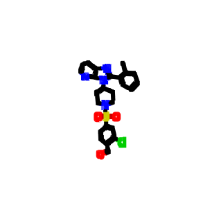 Cc1ccccc1-c1nc2cccnc2n1C1CCN(S(=O)(=O)c2ccc(C=O)c(Cl)c2)CC1